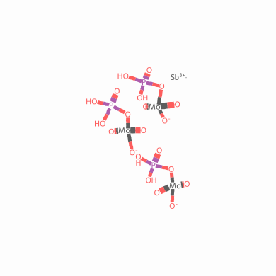 O=P(O)(O)[O][Mo](=[O])(=[O])[O-].O=P(O)(O)[O][Mo](=[O])(=[O])[O-].O=P(O)(O)[O][Mo](=[O])(=[O])[O-].[Sb+3]